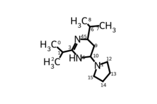 CC(C)C1=NC(C(C)C)CC(N2CCCC2)N1